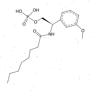 CCCCCCCC(=O)N[C@@H](COP(=O)(O)O)c1cccc(OC)c1